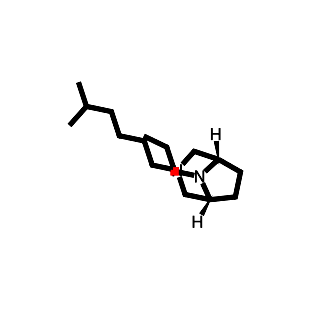 CCCN1[C@@H]2CC[C@H]1CN(CCCCC(C)C)C2